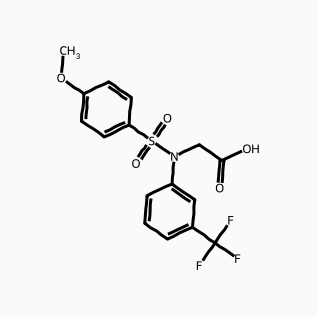 COc1ccc(S(=O)(=O)N(CC(=O)O)c2cccc(C(F)(F)F)c2)cc1